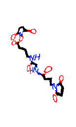 O=C(CCCN1C(=O)C=CC1=O)NCC(=O)NCCCC(=O)ON1C(=O)CCC1=O